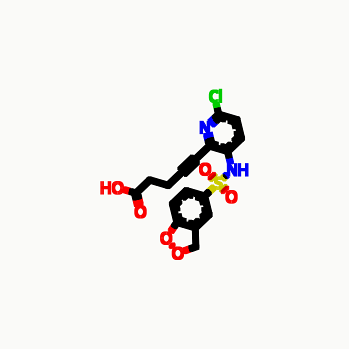 O=C(O)CCC#Cc1nc(Cl)ccc1NS(=O)(=O)c1ccc2c(c1)COO2